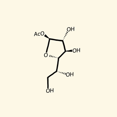 CC(=O)O[C@@H]1O[C@@H]([C@H](O)CO)[C@H](O)[C@H]1O